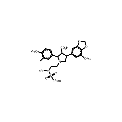 CCCCCS(=O)(=O)N(CCC)CCN1CC(c2cc(OC)c3c(c2)OCO3)C(C(=O)O)C1c1ccc(OC)c(F)c1